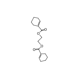 O=C(OCCOC(=O)C1=CCCCC1)C1=CCCCC1